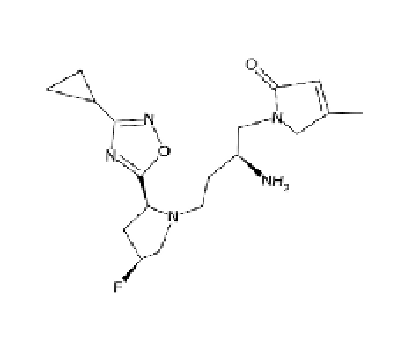 CC1=CC(=O)N(C[C@@H](N)CCN2C[C@@H](F)C[C@H]2c2nc(C3CC3)no2)C1